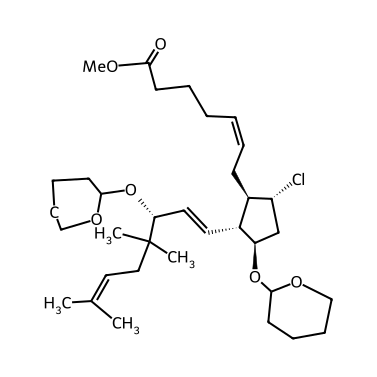 COC(=O)CCC/C=C\C[C@@H]1[C@@H](/C=C/[C@@H](OC2CCCCO2)C(C)(C)CC=C(C)C)[C@H](OC2CCCCO2)C[C@H]1Cl